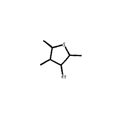 CCC1C(C)SC(C)C1C